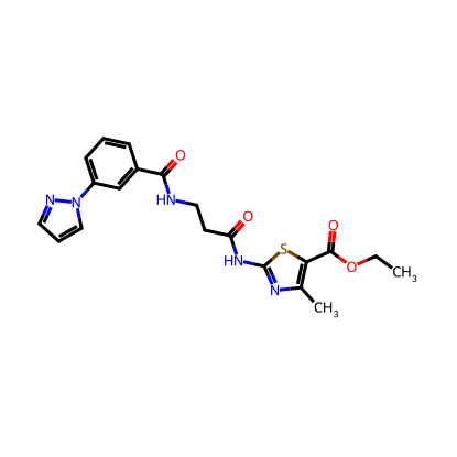 CCOC(=O)c1sc(NC(=O)CCNC(=O)c2cccc(-n3cccn3)c2)nc1C